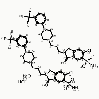 Cl.Cl.NS(=O)(=O)c1cc2c(cc1Cl)CN(CCCN1CCN(c3cccc(C(F)(F)F)c3)CC1)C2=O.NS(=O)(=O)c1cc2c(cc1Cl)CN(CCCN1CCN(c3cccc(C(F)(F)F)c3)CC1)C2=O.O